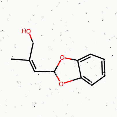 CC(=CC1Oc2ccccc2O1)CO